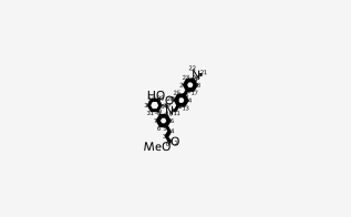 COC(=O)/C=C/c1cccc(N(Cc2ccc(-c3ccc(N(C)C)cc3)cc2)C(=O)[C@@H]2CCCC[C@@H]2O)c1